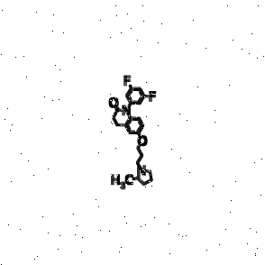 C[C@@H]1CCCN1CCCOc1ccc2c(c1)CCC(=O)N2c1cc(F)cc(F)c1